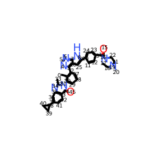 Cc1c(-c2ncnc3[nH]c(-c4ccc(C(=O)N5CCN(C)CC5)cc4)cc23)cccc1-n1c(C)nc2cc(C3CC3)ccc2c1=O